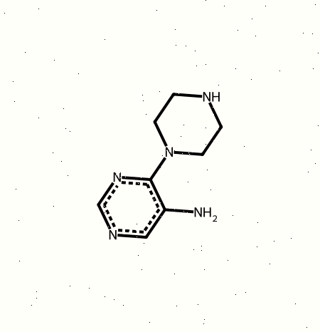 Nc1cncnc1N1CCNCC1